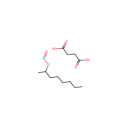 CCCCCCC(C)ON=O.O=C(O)CCC(=O)O